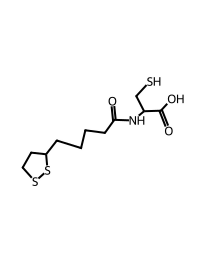 O=C(CCCCC1CCSS1)NC(CS)C(=O)O